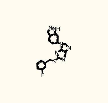 Fc1cccc(CSc2ncc3ncn(-c4ccc5cn[nH]c5c4)c3n2)c1